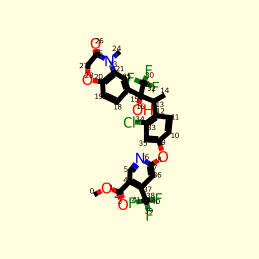 COC(=O)c1cnc(Oc2ccc(C(C)C(O)(c3ccc4c(c3)N(C)C(=O)CO4)C(F)(F)F)c(Cl)c2)cc1C(F)(F)F